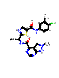 C[C@H](NC(=O)c1ncnc2c1CN(C)N2)c1ncc(C(=O)Nc2ccc(Cl)c(C(F)(F)F)c2)s1